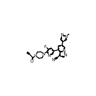 C#CC(=O)N1CCN(c2ncc(-c3cc(-c4cnn(C)c4)cn4ncc(C#N)c34)cc2F)CC1